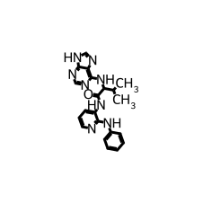 CC(C)C(Nc1ncnc2[nH]cnc12)C(=O)Nc1cccnc1Nc1ccccc1